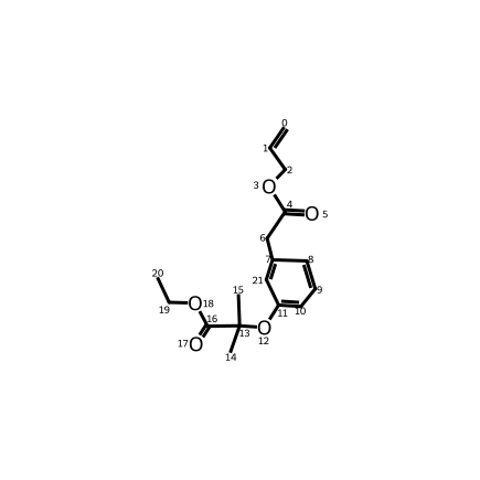 C=CCOC(=O)Cc1cccc(OC(C)(C)C(=O)OCC)c1